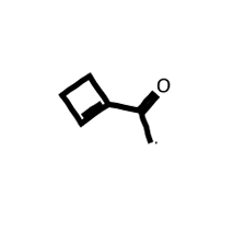 [CH2]C(=O)C1=CCC1